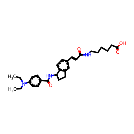 CCN(CC)c1ccc(C(=O)NC2CCc3cc(C=CC(=O)NCCCCCC(=O)O)ccc32)cc1